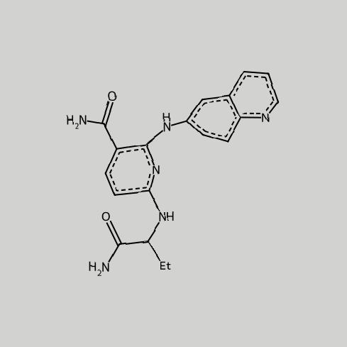 CCC(Nc1ccc(C(N)=O)c(Nc2ccc3ncccc3c2)n1)C(N)=O